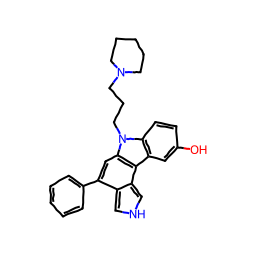 Oc1ccc2c(c1)c1c3c[nH]cc3c(-c3ccccc3)cc1n2CCCN1CCCCC1